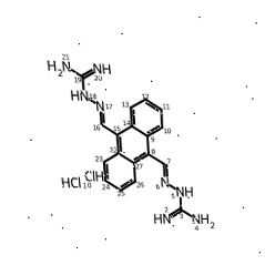 Cl.Cl.N=C(N)NN=Cc1c2ccccc2c(C=NNC(=N)N)c2ccccc12